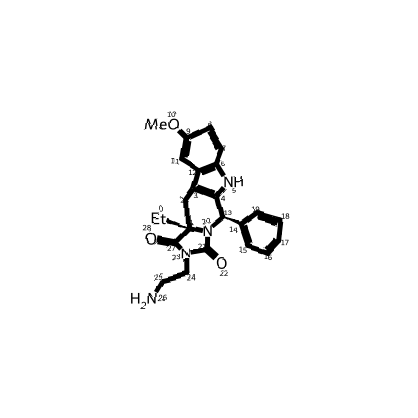 CC[C@@]12Cc3c([nH]c4ccc(OC)cc34)[C@@H](c3ccccc3)N1C(=O)N(CCN)C2=O